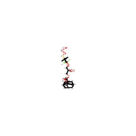 CC(C)(SOOO)C(F)(F)OCC(O)COC(=O)C12CC3CC(C1)C(=O)C(C3)C2